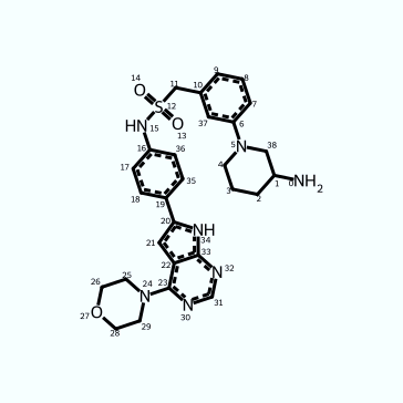 NC1CCCN(c2cccc(CS(=O)(=O)Nc3ccc(-c4cc5c(N6CCOCC6)ncnc5[nH]4)cc3)c2)C1